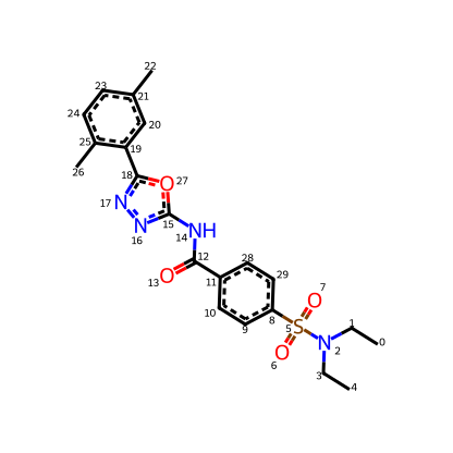 CCN(CC)S(=O)(=O)c1ccc(C(=O)Nc2nnc(-c3cc(C)ccc3C)o2)cc1